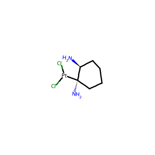 N[C@H]1CCCC[C@@]1(N)[Pt]([Cl])[Cl]